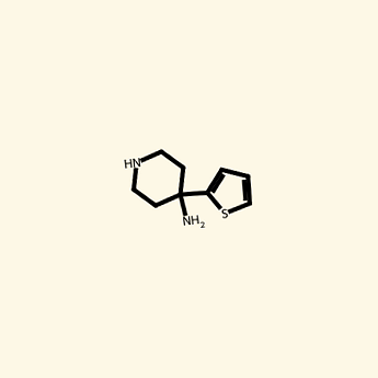 NC1(c2cccs2)CCNCC1